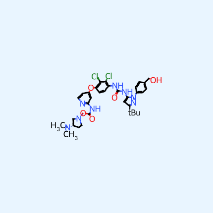 CN(C)[C@H]1CCN(OC(=O)Nc2cc(Oc3ccc(NC(=O)Nc4cc(C(C)(C)C)nn4-c4ccc(CO)cc4)c(Cl)c3Cl)ccn2)C1